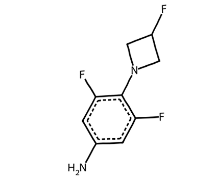 Nc1cc(F)c(N2CC(F)C2)c(F)c1